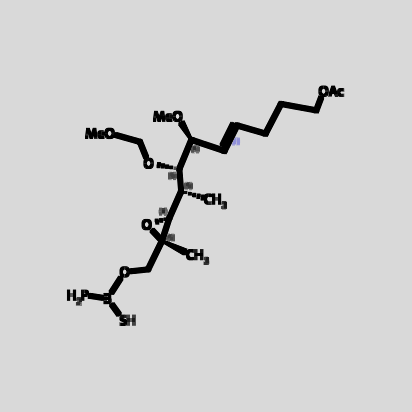 COCO[C@@H]([C@H](C)[C@H]1O[C@@]1(C)COB(P)S)[C@H](/C=C/CCCOC(C)=O)OC